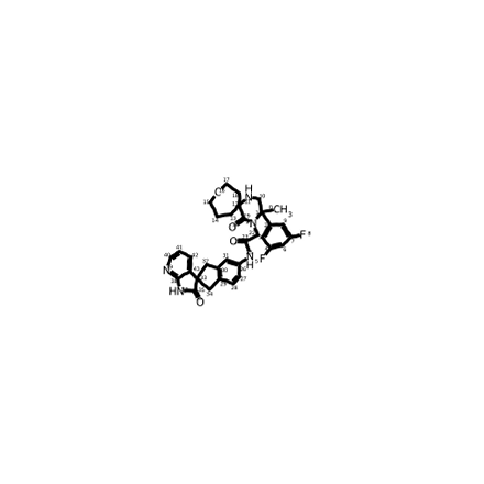 CC1(c2cc(F)cc(F)c2)CNC2(CCCCCC2)C(=O)N1CC(=O)Nc1ccc2c(c1)CC1(C2)C(=O)Nc2ncccc21